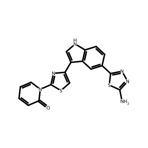 Nc1nnc(-c2ccc3[nH]cc(-c4csc(-n5ccccc5=O)n4)c3c2)s1